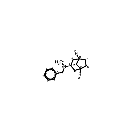 CN(Cc1ccccc1)[C@H]1C[C@@H]2CC[C@@H](C2)C1